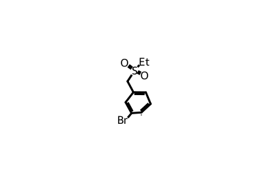 CCS(=O)(=O)Cc1cc[c]c(Br)c1